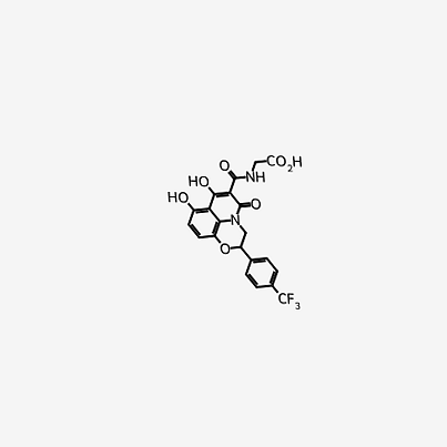 O=C(O)CNC(=O)c1c(O)c2c(O)ccc3c2n(c1=O)CC(c1ccc(C(F)(F)F)cc1)O3